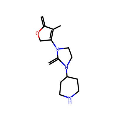 C=C1OCC(N2CCN(C3CCNCC3)C2=C)=C1C